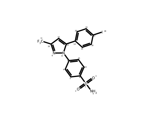 NS(=O)(=O)c1ccc(-n2nc(C(F)(F)F)cc2-c2ccc(I)cc2)cc1